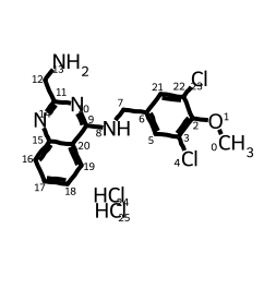 COc1c(Cl)cc(CNc2nc(CN)nc3ccccc23)cc1Cl.Cl.Cl